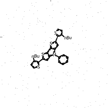 CCCCc1ccsc1-c1cc2c(s1)c1sc(-c3sccc3CCCC)cc1n2-c1ccccc1